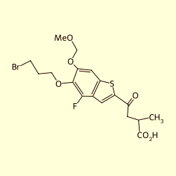 COCOc1cc2sc(C(=O)CC(C)C(=O)O)cc2c(F)c1OCCCBr